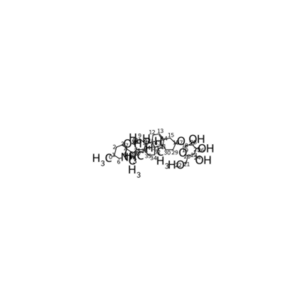 C[C@@H]1CC[C@@]2(NC1)O[C@H]1C[C@H]3[C@@H]4CC=C5C[C@@H](O[C@@H]6O[C@H](CO)[C@@H](O)[C@H](O)[C@H]6O)CC[C@]5(C)[C@H]4CC[C@@]3(C)[C@H]1[C@@H]2C